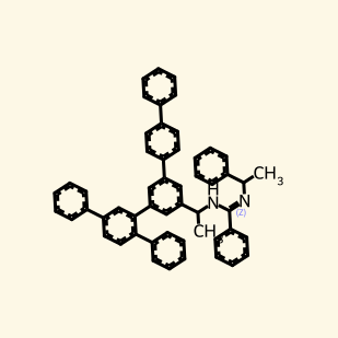 CC(/N=C(\NC(C)c1cc(-c2ccc(-c3ccccc3)cc2)cc(-c2cc(-c3ccccc3)ccc2-c2ccccc2)c1)c1ccccc1)c1ccccc1